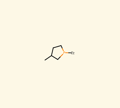 CCP1CCC(C)C1